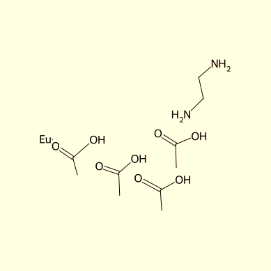 CC(=O)O.CC(=O)O.CC(=O)O.CC(=O)O.NCCN.[Eu]